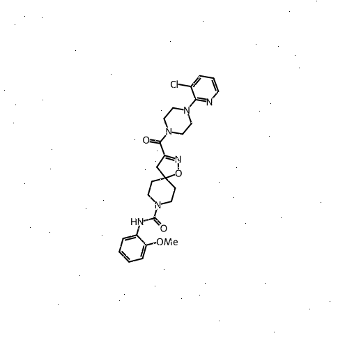 COc1ccccc1NC(=O)N1CCC2(CC1)CC(C(=O)N1CCN(c3ncccc3Cl)CC1)=NO2